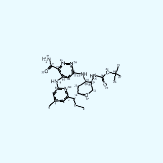 CCCc1cc(C)cc(Nc2cc(N[C@@H]3CCOC[C@@H]3NC(=O)OC(C)(C)C)nnc2C(N)=O)n1